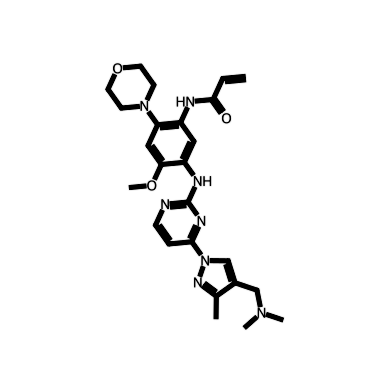 C=CC(=O)Nc1cc(Nc2nccc(-n3cc(CN(C)C)c(C)n3)n2)c(OC)cc1N1CCOCC1